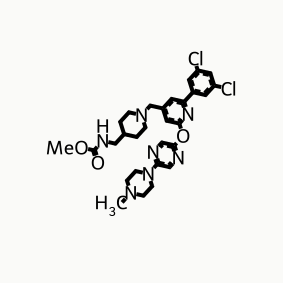 COC(=O)NCC1CCN(Cc2cc(Oc3cnc(N4CCN(C)CC4)cn3)nc(-c3cc(Cl)cc(Cl)c3)c2)CC1